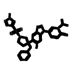 Cc1cc2c(cnn2-c2ccc(=O)n(C(C)C)c2)cc1C1(Cc2ccccc2)CCN(S(=O)(=O)c2cnn(C)n2)C1